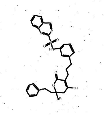 CCCC1(CCc2ccccc2)CC(O)=C(CCCc2cccc(NS(=O)(=O)c3ncc4ccccc4n3)c2)C(=O)O1